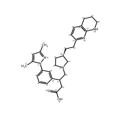 Cc1cc(C)n(-c2cccc(C(CC(=O)O)CN3CC[C@@H](CCc4ccc5c(n4)NCCC5)C3)c2)n1